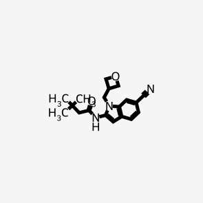 CC(C)(C)CC(=O)Nc1cc2ccc(C#N)cc2n1CC1COC1